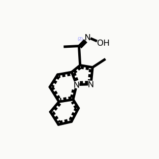 C/C(=N/O)c1c(C)nn2c1ccc1ccccc12